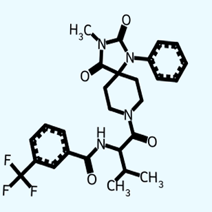 CC(C)C(NC(=O)c1cccc(C(F)(F)F)c1)C(=O)N1CCC2(CC1)C(=O)N(C)C(=O)N2c1ccccc1